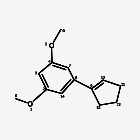 COc1cc(OC)cc(C2=CCCC2)c1